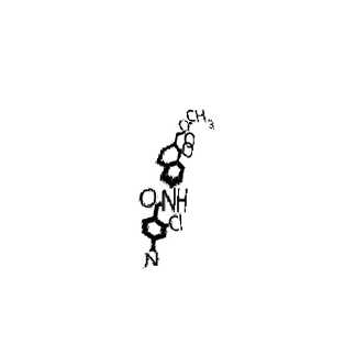 CCOC(=O)CC1CCc2cc(NC(=O)c3ccc(C#N)cc3Cl)ccc2C1=O